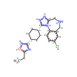 CCc1nc([C@H]2CC[C@@H](c3nnc4n3-c3ccc(Cl)cc3CNC4)CC2)no1